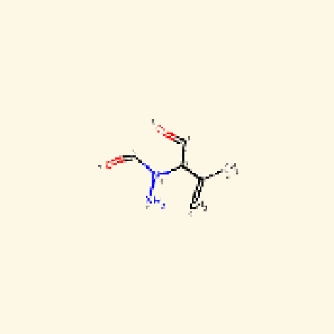 C=C(C)C(C=O)N(N)C=O